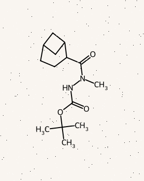 CN(NC(=O)OC(C)(C)C)C(=O)C1CCC2CC1C2